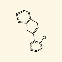 Clc1ccccc1C1=CCc2ccccc2[CH]1